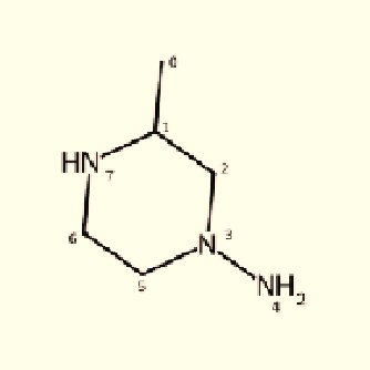 CC1CN(N)CCN1